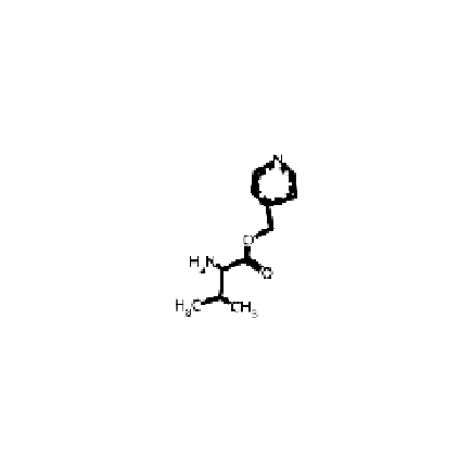 CC(C)C(N)C(=O)OCc1ccncc1